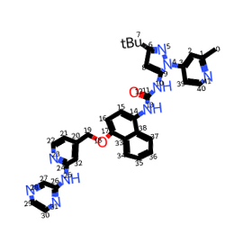 Cc1cc(-n2nc(C(C)(C)C)cc2NC(=O)Nc2ccc(OCc3ccnc(Nc4cnccn4)c3)c3ccccc23)ccn1